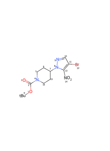 CC(C)(C)OC(=O)N1CCC(n2ncc(Br)c2[N+](=O)[O-])CC1